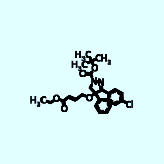 CCOC(=O)/C=C/COC1(c2ccccc2)CN(C(=O)OC(C)(C)C)N=C1c1ccc(Cl)cc1